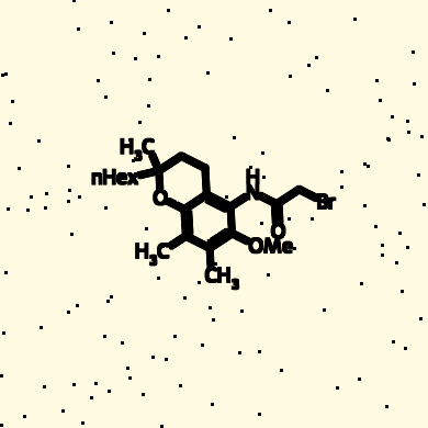 CCCCCCC1(C)CCc2c(NC(=O)CBr)c(OC)c(C)c(C)c2O1